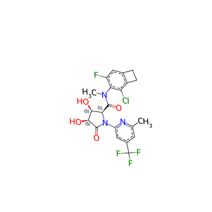 Cc1cc(C(F)(F)F)cc(N2C(=O)[C@@H](O)[C@@H](O)[C@H]2C(=O)N(C)c2c(F)cc3c(c2Cl)CC3)n1